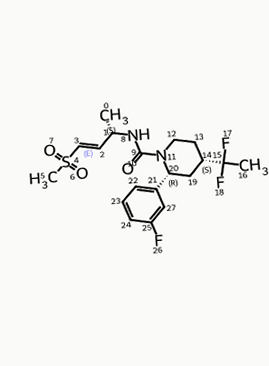 C[C@@H](/C=C/S(C)(=O)=O)NC(=O)N1CC[C@H](C(C)(F)F)C[C@@H]1c1cccc(F)c1